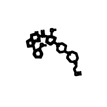 COc1cc(N2CCC(N3CCCN(CCO)CC3)CC2)ccc1Nc1ncc2ccc(-c3ccccc3OC)n2n1